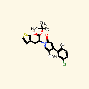 CCC(C)(C)OC(=O)C(Cc1ccsc1)n1cc(OC)c(-c2cc(Cl)ccc2C(C)=O)cc1=O